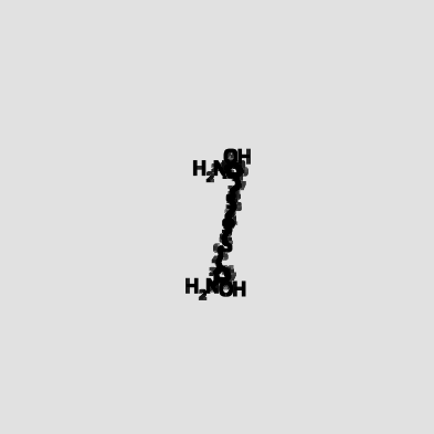 Nc1cc(CCCSCCSSCCSCCCc2ccc(O)c(N)c2)ccc1O